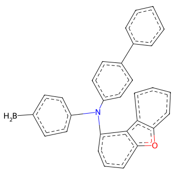 Bc1ccc(N(c2ccc(-c3ccccc3)cc2)c2cccc3oc4ccccc4c23)cc1